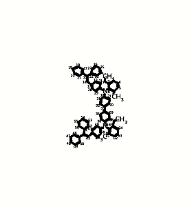 CCc1cccc(C)c1N(c1ccc(C=C(c2ccccc2)c2ccccc2)cc1)c1ccc(-c2ccc(N(c3ccc(C=C(c4ccccc4)c4ccccc4)cc3)c3c(C)cccc3CC)cc2)cc1